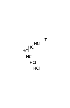 Cl.Cl.Cl.Cl.Cl.Cl.[Ti]